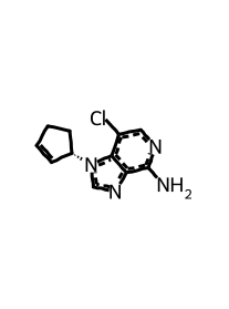 Nc1ncc(Cl)c2c1ncn2[C@@H]1C=CCC1